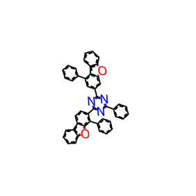 c1ccc(-c2nc(-c3cc(-c4ccccc4)c4c(c3)oc3ccccc34)nc(-c3ccc4c(oc5ccccc54)c3-c3ccccc3)n2)cc1